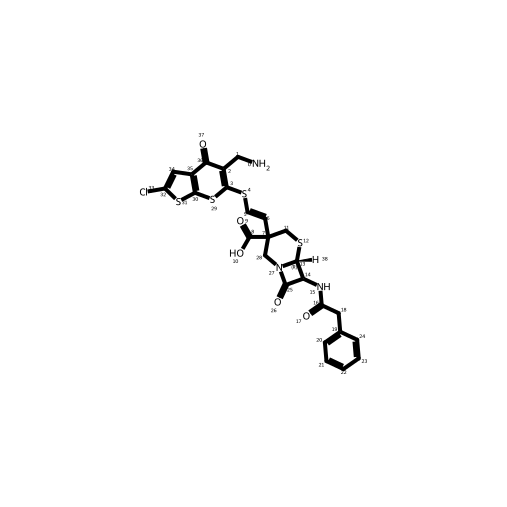 NCc1c(SC=CC2(C(=O)O)CS[C@@H]3C(NC(=O)Cc4ccccc4)C(=O)N3C2)sc2sc(Cl)cc2c1=O